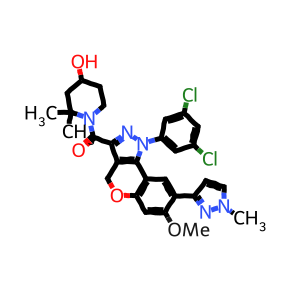 COc1cc2c(cc1-c1ccn(C)n1)-c1c(c(C(=O)N3CCC(O)CC3(C)C)nn1-c1cc(Cl)cc(Cl)c1)CO2